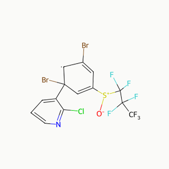 [O-][S+](C1=CC(Br)(c2cccnc2Cl)[CH]C(Br)=C1)C(F)(F)C(F)(F)C(F)(F)F